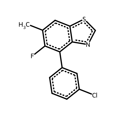 Cc1cc2scnc2c(-c2cccc(Cl)c2)c1F